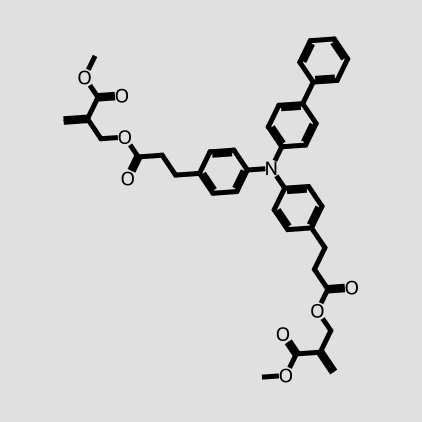 C=C(COC(=O)CCc1ccc(N(c2ccc(CCC(=O)OCC(=C)C(=O)OC)cc2)c2ccc(-c3ccccc3)cc2)cc1)C(=O)OC